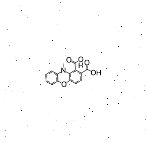 CN1c2ccccc2Oc2ccc(C(=O)O)c(C(=O)O)c21